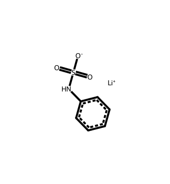 O=S(=O)([O-])Nc1ccccc1.[Li+]